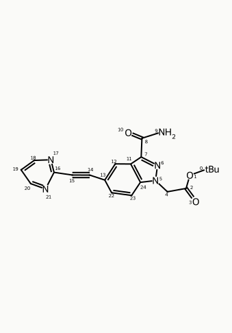 CC(C)(C)OC(=O)Cn1nc(C(N)=O)c2cc(C#Cc3ncccn3)ccc21